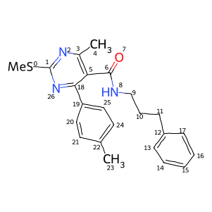 CSc1nc(C)c(C(=O)NCCCc2ccccc2)c(-c2ccc(C)cc2)n1